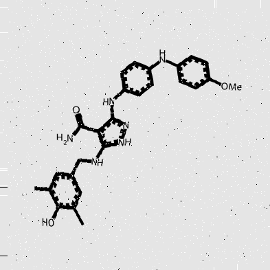 COc1ccc(Nc2ccc(Nc3n[nH]c(NCc4cc(C)c(O)c(C)c4)c3C(N)=O)cc2)cc1